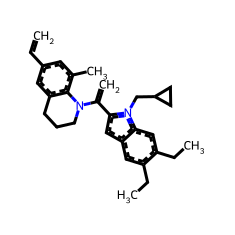 C=Cc1cc(C)c2c(c1)CCCN2C(=C)c1cc2cc(CC)c(CC)cc2n1CC1CC1